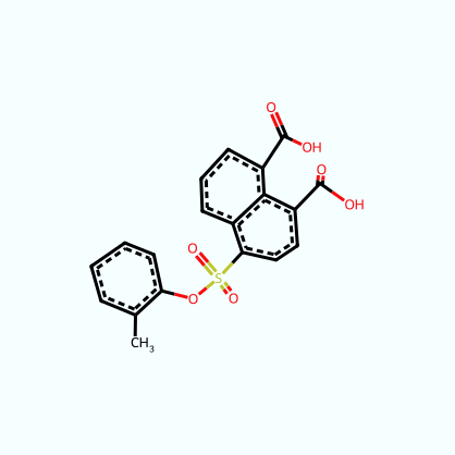 Cc1ccccc1OS(=O)(=O)c1ccc(C(=O)O)c2c(C(=O)O)cccc12